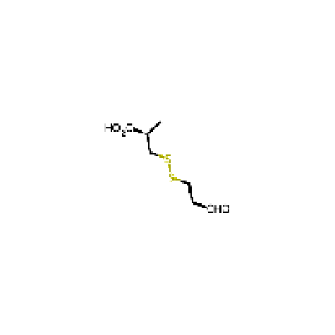 C[C@@H](CSSCCC=O)C(=O)O